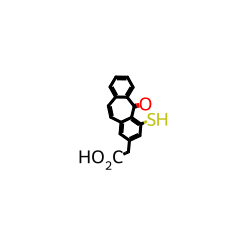 O=C(O)Cc1cc(S)c2c(=O)c3ccccc3ccc2c1